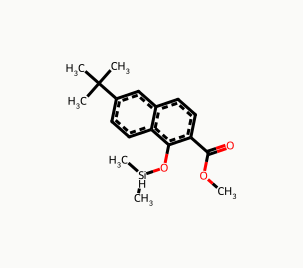 COC(=O)c1ccc2cc(C(C)(C)C)ccc2c1O[SiH](C)C